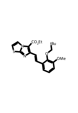 CCOC(=O)c1c(C=Cc2cccc(OC)c2OCC(C)(C)C)nc2sccn12